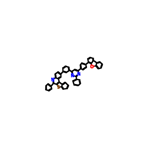 c1ccc(-c2nc(-c3ccc(-c4cccc5c4oc4ccccc45)cc3)cc(-c3cccc(-c4ccc5nc(-c6ccccc6)c6sc7ccccc7c6c5c4)c3)n2)cc1